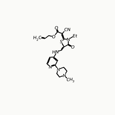 C=CCOC(=O)C(C#N)=c1sc(=CNc2ccnc(N3CCN(C)CC3)c2)c(=O)n1CC